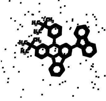 CC(C)(C)c1cccc(N2c3cc(C(C)(C)C)ccc3B3c4ccccc4-c4cc(-n5c6ccccc6c6ccccc65)cc2c43)c1